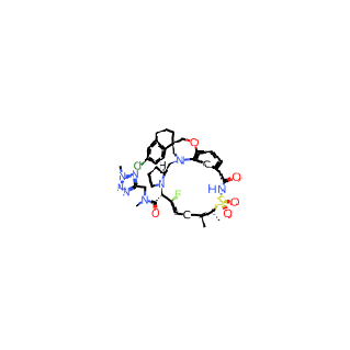 C[C@@H]1[C@@H](C)C/C=C(\F)[C@H](C(=O)N(C)Cc2nnn(C)n2)N2CCC[C@H]2CN2C[C@@]3(CCCc4cc(Cl)ccc43)COc3ccc(cc32)C(=O)NS1(=O)=O